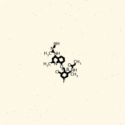 B[C@@](C)(NC(=O)CC)c1cc(F)cc(Cl)c1COc1cccc2c(N/C(C)=N\C=N)cc(C)nc12